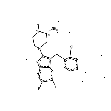 N[C@@H]1CN(c2nc3cc(F)c(F)cc3n2Cc2ccccc2Cl)CC[C@H]1F